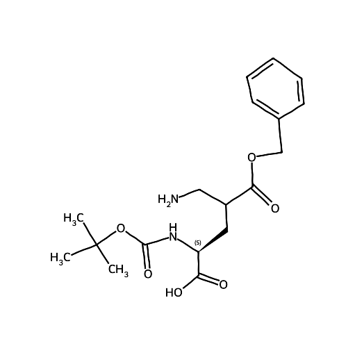 CC(C)(C)OC(=O)N[C@@H](CC(CN)C(=O)OCc1ccccc1)C(=O)O